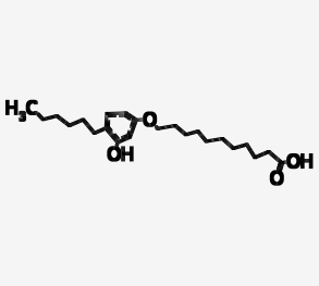 CCCCCCc1ccc(OCCCCCCCCCCC(=O)O)cc1O